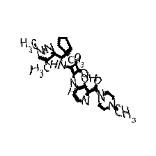 Cc1cn(C)nc1[C@H](Nc1c(Nc2ccnc(C(=O)N3CCN(C)CC3)c2O)c(=O)c1=O)C1(C)CCCC1